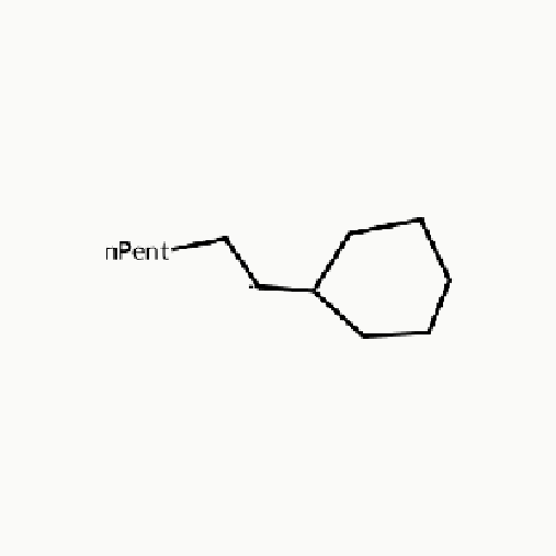 CCCCCC[CH]C1CCCCC1